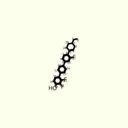 CCC1CC=C(c2ccc(-c3ccc(-c4ccc(O)c(F)c4F)cc3)cc2F)CC1